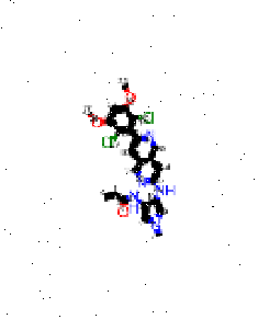 C=CC(=O)Nc1cn(C)cc1Nc1cc2cnc(-c3c(Cl)c(OC)cc(OC)c3Cl)cc2cn1